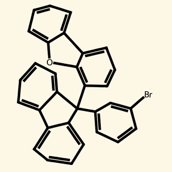 Brc1cccc(C2(c3cccc4c3oc3ccccc34)c3ccccc3-c3ccccc32)c1